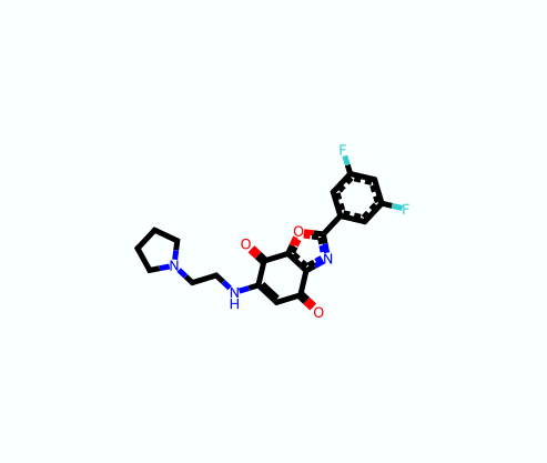 O=C1C=C(NCCN2CCCC2)C(=O)c2oc(-c3cc(F)cc(F)c3)nc21